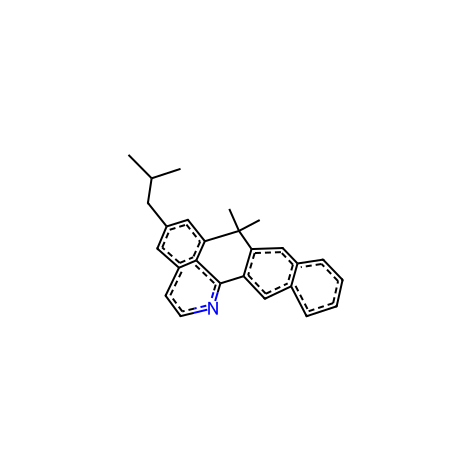 CC(C)Cc1cc2c3c(nccc3c1)-c1cc3ccccc3cc1C2(C)C